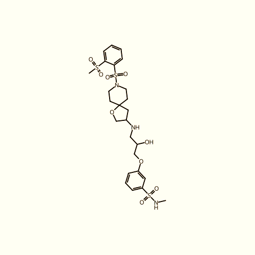 CNS(=O)(=O)c1cccc(OCC(O)CNC2COC3(CCN(S(=O)(=O)c4ccccc4S(C)(=O)=O)CC3)C2)c1